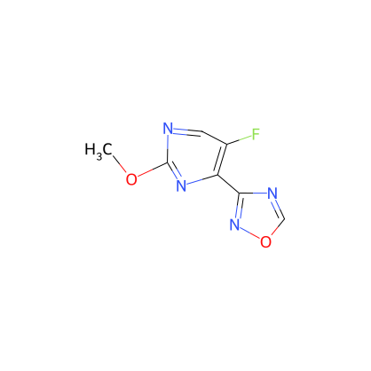 COc1ncc(F)c(-c2ncon2)n1